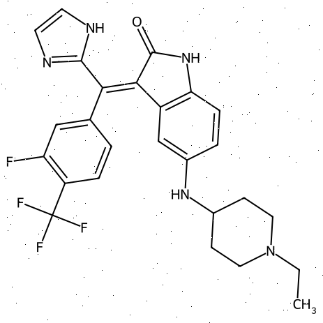 CCN1CCC(Nc2ccc3c(c2)/C(=C(\c2ccc(C(F)(F)F)c(F)c2)c2ncc[nH]2)C(=O)N3)CC1